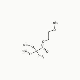 CCCCOCCO[PH](=O)C(C)(OCCCC)OCCCC